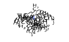 CCCC(C)[Si](c1cc(N(c2cc([SiH](C(C)C)C(C)C)cc([Si](C(C)C)(C(C)C)C(C)C)c2)c2c3ccccc3c(C)c3ccc(C(C)(C)C)cc23)cc([Si](C(C)C)(C(C)C)C(C)C)c1)(C(C)C)C(C)C